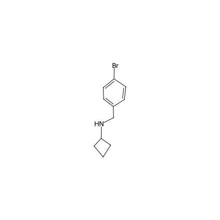 Brc1ccc(CNC2CCC2)cc1